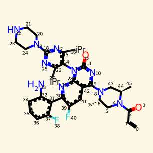 C=CC(=O)N1C[C@H](C)N(c2nc(=O)n(-c3c(C(C)C)nc(N4CCNCC4)nc3C(C)C)c3nc(-c4c(N)cccc4F)c(F)cc23)C[C@H]1C